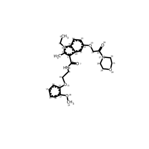 CCn1c(C)c(C(=O)NCCOc2ccccc2OC)c2cc(OCC(=O)N3CCOCC3)ccc21